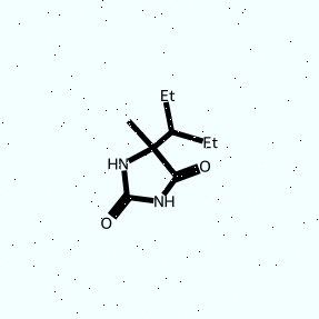 CCC(CC)C1(C)NC(=O)NC1=O